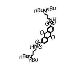 CCCCN(CCCC)CCCNS(=O)(=O)c1ccc2c(c1)C(=O)c1cc(S(=O)(=O)NCCCN(CCCC)CCCC)ccc1C2=O